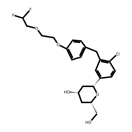 OC[C@@H]1C[C@H](O)C[C@H](c2ccc(Cl)c(Cc3ccc(OCCOCC(F)F)cc3)c2)O1